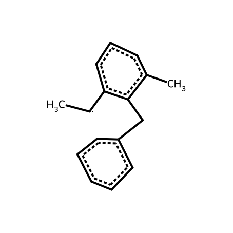 C[CH]c1cccc(C)c1Cc1ccccc1